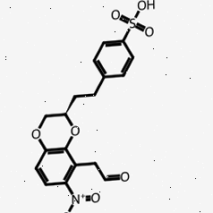 O=CCc1c([N+](=O)[O-])ccc2c1O[C@H](CCc1ccc(S(=O)(=O)O)cc1)CO2